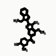 CCn1c(-c2nc3cc(C(=O)N4CCC(O)C(N)C4)cc(OC)c3n2C)cc2ccccc21